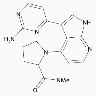 CNC(=O)C1CCCN1c1ccnc2[nH]cc(-c3ccnc(N)n3)c12